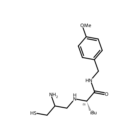 CCC(C)[C@H](NCC(N)CS)C(=O)NCc1ccc(OC)cc1